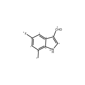 Cc1cc(F)cc2c(C=O)c[nH]c12